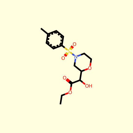 CCOC(=O)C(O)C1CN(S(=O)(=O)c2ccc(C)cc2)CCO1